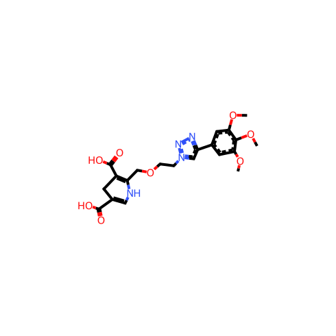 COc1cc(-c2cn(CCOCC3=C(C(=O)O)CC(C(=O)O)=CN3)nn2)cc(OC)c1OC